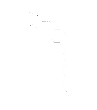 C[N+](C)(C)CCCCOCc1ccc(CC2CC3C=CC2C3)cc1